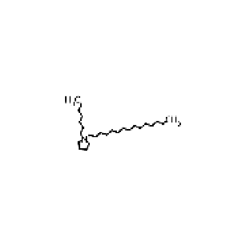 CCCCCCCCCCCCCCC[N+]1(CCCCCCC)CCCC1